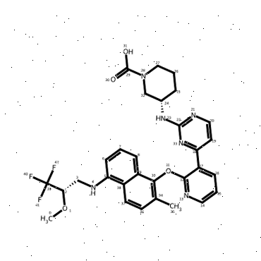 CO[C@@H](CNc1cccc2c(Oc3ncccc3-c3ccnc(N[C@H]4CCCN(C(=O)O)C4)n3)c(C)ccc12)C(F)(F)F